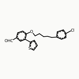 O=Cc1ccc(OCCCCCc2ccc(Cl)cc2)c(-c2cccs2)c1